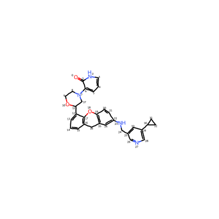 O=c1[nH]cccc1N1CCOC(c2cccc3c2Oc2ccc(NCc4cncc(C5CC5)c4)cc2C3)C1